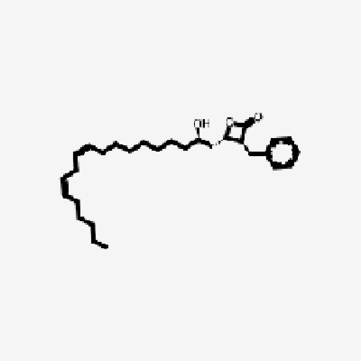 CCCCC/C=C\C/C=C\CCCCCCC[C@@H](O)C[C@@H]1OC(=O)[C@H]1Cc1ccccc1